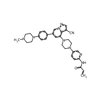 C=CC(=O)Nc1ccc(N2CCN(c3cc(-c4ccc(N5CCN(C)CC5)cc4)cn4ncc(C#N)c34)CC2)cn1